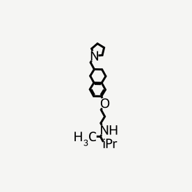 CC(C)C(C)NCCCOc1ccc2c(c1)CCC(CN1CCCC1)C2